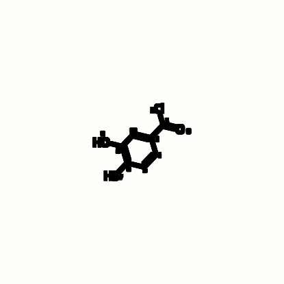 O=C(Cl)c1ccc(S)c(O)c1